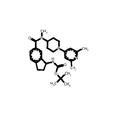 Cc1cc(N2CCC(N(C)C(=O)c3ccc4c(c3)C(NC(=O)OC(C)(C)C)CC4)CC2)cc(C)n1